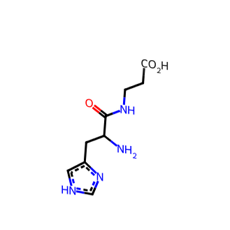 NC(Cc1c[nH]cn1)C(=O)NCCC(=O)O